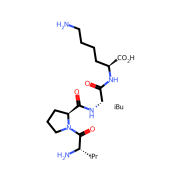 CC[C@H](C)[C@H](NC(=O)[C@@H]1CCCN1C(=O)[C@@H](N)C(C)C)C(=O)N[C@@H](CCCCN)C(=O)O